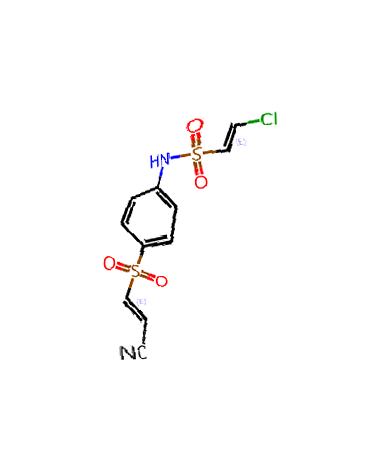 N#C/C=C/S(=O)(=O)c1ccc(NS(=O)(=O)/C=C/Cl)cc1